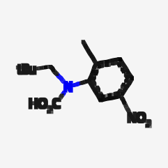 Cc1ccc([N+](=O)[O-])cc1N(CC(C)(C)C)C(=O)O